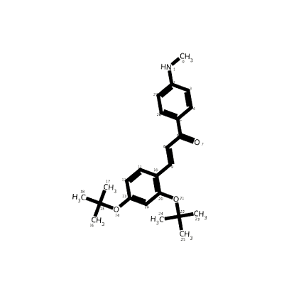 CNc1ccc(C(=O)C=Cc2ccc(OC(C)(C)C)cc2OC(C)(C)C)cc1